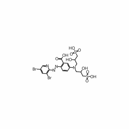 O=C(O)c1cc(N(CC(O)CS(=O)(=O)O)CC(O)CS(=O)(=O)O)ccc1/N=N/c1ncc(Br)cc1Br